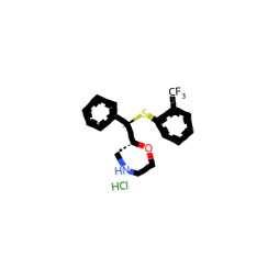 Cl.FC(F)(F)c1ccccc1S[C@H](c1ccccc1)[C@H]1CNCCO1